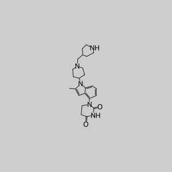 Cc1cc2c(N3CCC(=O)NC3=O)cccc2n1C1CCN(CC2CCNCC2)CC1